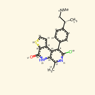 CNC[C@H](C)c1ccc(-c2c(Cl)nc(C)c3[nH]c(=O)c4sccc4c23)cc1